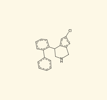 Clc1cc2c(s1)CNCC2c1ccccc1-c1ccccc1